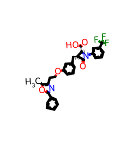 Cc1oc(-c2ccccc2)nc1CCOc1cccc(C[C@@H]2C(=O)N(c3cccc(C(F)(F)F)c3)[C@H]2C(=O)O)c1